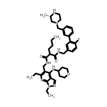 CCCCC(C(=O)NCc1ccc(F)c(-c2cccc(CN3CCN[C@@H](C)C3)c2)c1)C(=O)NCc1c(CC)nc2c(cnn2CC)c1NC1CCOCC1